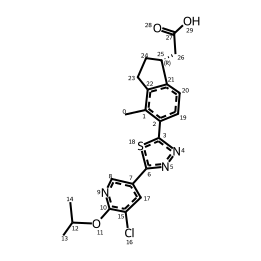 Cc1c(-c2nnc(-c3cnc(OC(C)C)c(Cl)c3)s2)ccc2c1CC[C@@H]2CC(=O)O